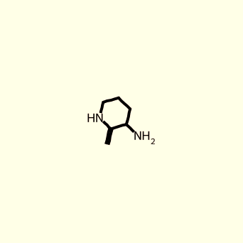 C=C1NCCCC1N